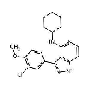 COc1ccc(-c2n[nH]c3ccnc(NC4CCCCC4)c23)cc1Cl